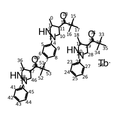 CC1NN(c2ccccc2)CC1C(=O)C(C)(C)C.CC1NN(c2ccccc2)CC1C(=O)C(C)(C)C.CC1NN(c2ccccc2)CC1C(=O)C(C)(C)C.[Tb]